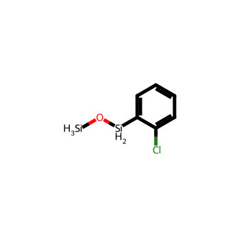 [SiH3]O[SiH2]c1ccccc1Cl